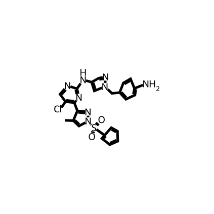 Cc1cn(S(=O)(=O)c2ccccc2)nc1-c1nc(Nc2cnn(Cc3ccc(N)cc3)c2)ncc1Cl